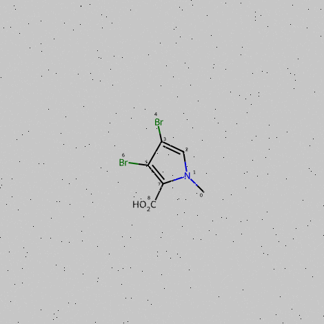 Cn1cc(Br)c(Br)c1C(=O)O